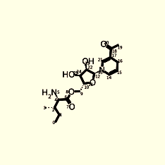 CC[C@H](C)[C@H](N)C(=O)OC[C@H]1O[C@@H](N2C=CCC(C(C)=O)=C2)[C@H](O)[C@@H]1O